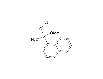 CCO[Si](C)(OC)c1cccc2ccccc12